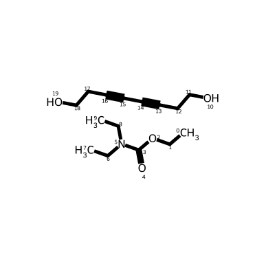 CCOC(=O)N(CC)CC.OCCC#CC#CCCO